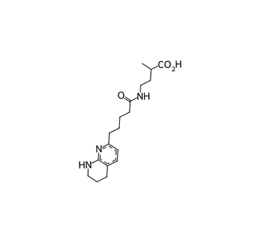 CC(CCNC(=O)CCCCc1ccc2c(n1)NCCC2)C(=O)O